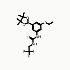 CCOc1cc(NC(=O)NCC(F)(F)F)cc(B2OC(C)(C)C(C)(C)O2)c1